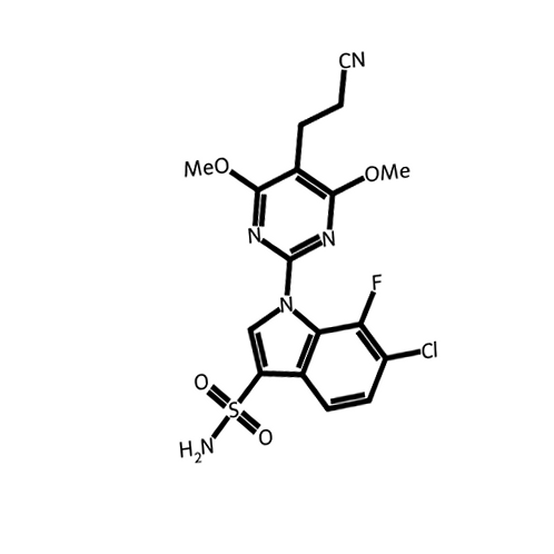 COc1nc(-n2cc(S(N)(=O)=O)c3ccc(Cl)c(F)c32)nc(OC)c1CCC#N